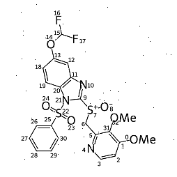 COc1ccnc(C[S+]([O-])c2nc3cc(OC(F)F)ccc3n2S(=O)(=O)c2ccccc2)c1OC